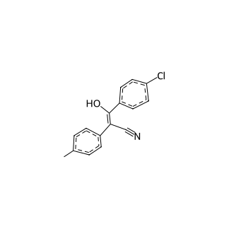 Cc1ccc(C(C#N)=C(O)c2ccc(Cl)cc2)cc1